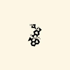 Cc1cc2cnn(C3CNC3)c2cc1C(=O)NC1(c2cccc3ccccc23)CC1